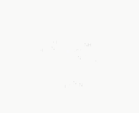 CN(C)C/C=C/C(=O)N(c1ccc2c(cnn2C)c1)C1(C(=O)NCc2ccccc2)CCOCC1